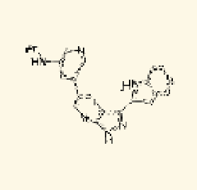 CC(C)Nc1cncc(-c2cnc3[nH]nc(-c4cc5cnccc5[nH]4)c3c2)c1